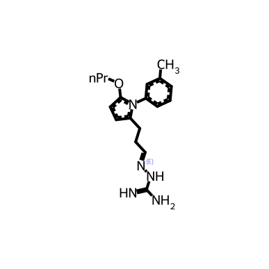 CCCOc1ccc(CC/C=N/NC(=N)N)n1-c1cccc(C)c1